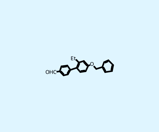 CCc1cc(OCc2ccccc2)ccc1-c1ccc(C=O)cc1